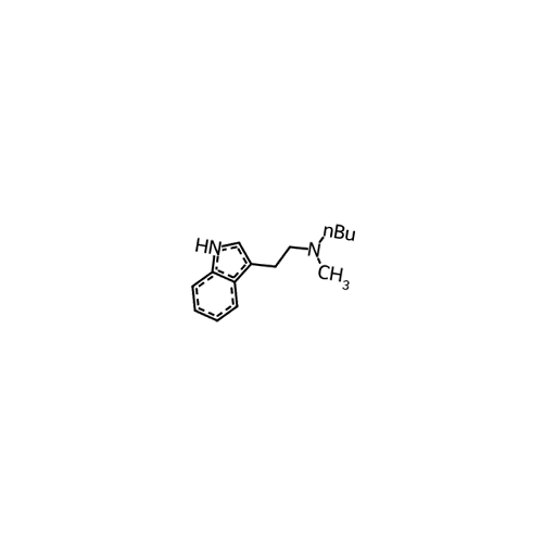 CCCCN(C)CCc1c[nH]c2ccccc12